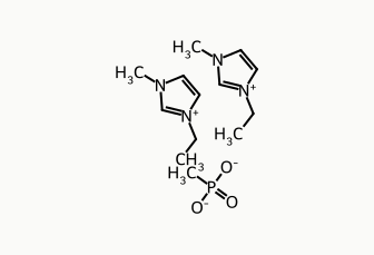 CC[n+]1ccn(C)c1.CC[n+]1ccn(C)c1.CP(=O)([O-])[O-]